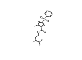 CC(CCOC(=O)c1sc(S(=O)(=O)c2ccccc2)nc1C)=C(F)F